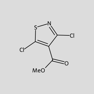 COC(=O)c1c(Cl)nsc1Cl